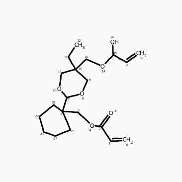 C=CC(=O)OCC1(C2OCC(CC)(COC(O)C=C)CO2)CCCCC1